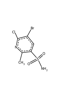 Cc1nc(Cl)c(Br)cc1S(N)(=O)=O